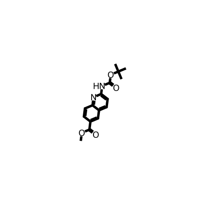 COC(=O)c1ccc2nc(NC(=O)OC(C)(C)C)ccc2c1